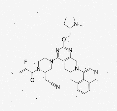 C=C(F)C(=O)N1CCN(c2nc(OC[C@@H]3CCCN3C)nc3c2CCN(c2cncc4cccc(C)c24)C3)CC1CC#N